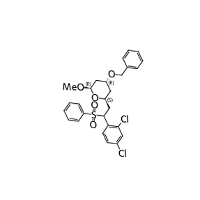 CO[C@H]1C[C@H](OCc2ccccc2)C[C@@H](CC(c2ccc(Cl)cc2Cl)S(=O)(=O)c2ccccc2)O1